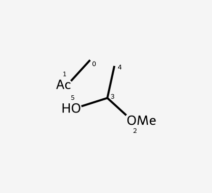 CC(C)=O.COC(C)O